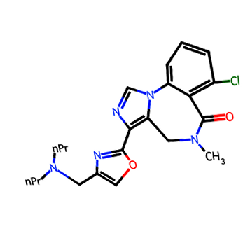 CCCN(CCC)Cc1coc(-c2ncn3c2CN(C)C(=O)c2c(Cl)cccc2-3)n1